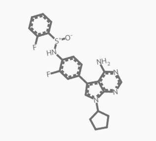 Nc1ncnc2c1c(-c1ccc(N[S+]([O-])c3ccccc3F)c(F)c1)cn2C1CCCC1